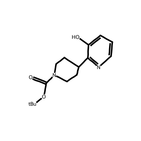 CC(C)(C)OC(=O)N1CCC(c2ncccc2O)CC1